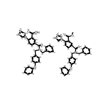 COC(=O)c1cc(C(=O)N(Cc2ccccc2)Cc2ccc(Oc3ccccc3)cc2)ccc1-n1cnnn1.O=C(O)c1cc(C(=O)N(Cc2ccccc2)Cc2ccc(Oc3ccccc3)cc2)ccc1-n1cnnn1